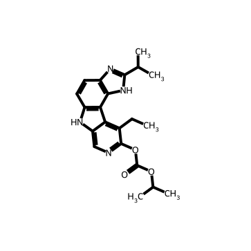 CCc1c(OC(=O)OC(C)C)ncc2[nH]c3ccc4nc(C(C)C)[nH]c4c3c12